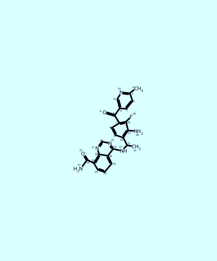 Cc1ccc(C(=O)c2ccc(C(C)Nc3ncnc4c(C(N)=O)cccc34)c(N)c2F)cn1